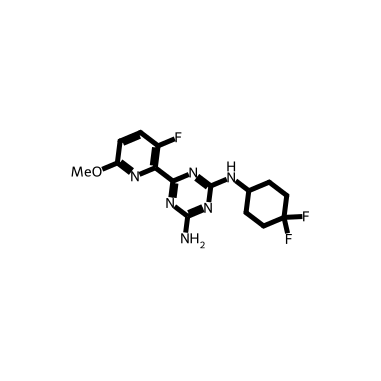 COc1ccc(F)c(-c2nc(N)nc(NC3CCC(F)(F)CC3)n2)n1